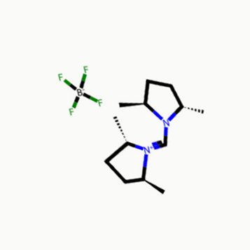 C[C@H]1CC[C@H](C)N1C=[N+]1[C@@H](C)CC[C@@H]1C.F[B-](F)(F)F